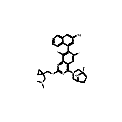 CN(C)CC1(COc2nc(N3CC4CC[C@@](C)(C3)N4)c3cc(Cl)c(-c4cc(O)cc5ccccc45)c(F)c3n2)CC1